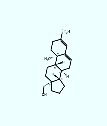 C[C@]12CCC(C(=O)O)=CC1=CC[C@H]1[C@@H]3CCC[C@@]3(CO)CC[C@@H]12